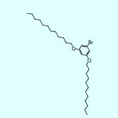 CCCCCCCCCCCCOc1cc(Br)cc(OCCCCCCCCCCCC)c1